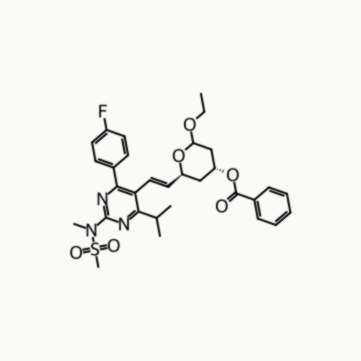 CCOC1C[C@H](OC(=O)c2ccccc2)C[C@@H](/C=C/c2c(-c3ccc(F)cc3)nc(N(C)S(C)(=O)=O)nc2C(C)C)O1